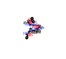 CC[C@H](C)[C@@H]([C@@H](CC(=O)N1CCC[C@H]1[C@H](OC)[C@@H](C)C(=O)N[C@H](C)[C@@H](O)c1ccccc1)OC)N(C)C(=O)[C@@H](NC(=O)[C@H](C(C)C)N(C)CCOCNC(=O)CNC(=O)[C@H](C)NC(=O)[C@H](C(C)C)N(C)C(=O)OC1c2ccccc2-c2ccccc21)C(C)C